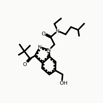 CCN(CCC(C)C)C(=O)Cn1nc(C(=O)C(C)(C)C)c2ccc(CO)cc21